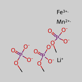 COP(=O)([O-])[O-].COP(=O)([O-])[O-].COP(=O)([O-])[O-].[Fe+3].[Li+].[Mn+2]